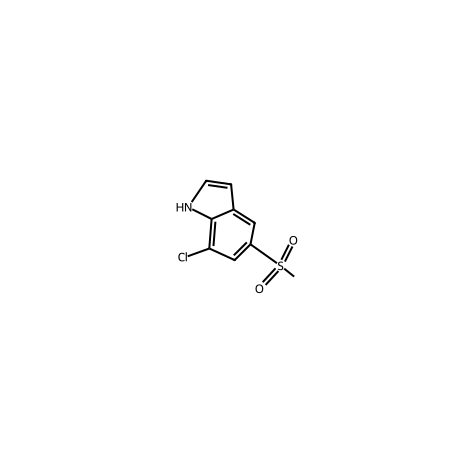 CS(=O)(=O)c1cc(Cl)c2[nH]ccc2c1